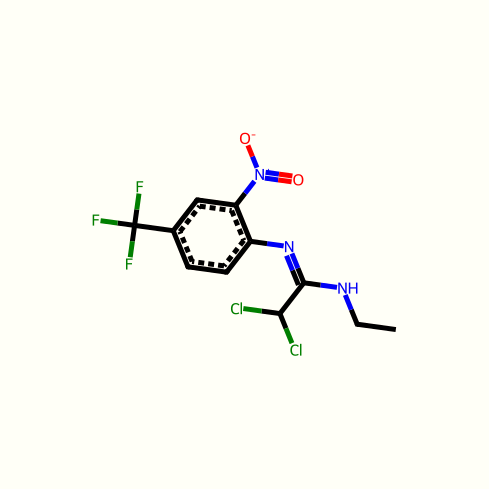 CCN/C(=N/c1ccc(C(F)(F)F)cc1[N+](=O)[O-])C(Cl)Cl